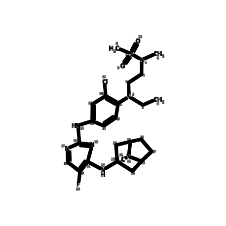 CCN(CCN(C)S(C)(=O)=O)c1ccc(Nc2ncc(F)c(NC3CC4CCC(C3)N4C)n2)cc1Cl